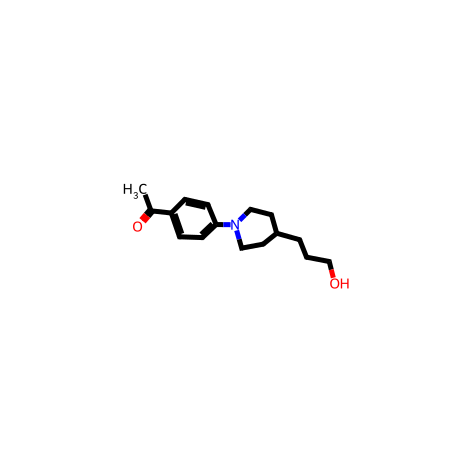 CC(=O)c1ccc(N2CCC(CCCO)CC2)cc1